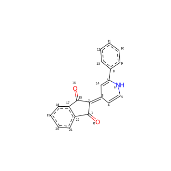 O=C1C(=C2C=CNC(c3ccccc3)=C2)C(=O)c2ccccc21